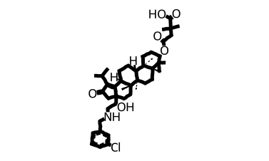 CC(C)C1=C2[C@H]3CC[C@@H]4[C@@]5(C)CC[C@H](OC(=O)CC(C)(C)C(=O)O)C6(C)C[C@]65CC[C@@]4(C)[C@]3(C)CCC2(C(O)CNCc2cccc(Cl)c2)CC1=O